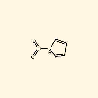 [O]=[Ti](=[O])[SH]1[C]=CC=C1